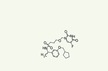 C[C@@H](NS(=O)(=O)CCCOCn1cc(F)c(=O)[nH]c1=O)c1cccc(OCC2CCCC2)c1